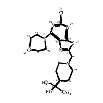 CC(C)(O)C1CCN(Cc2nc3c(N4CCOCC4)nc(Cl)nc3s2)CC1